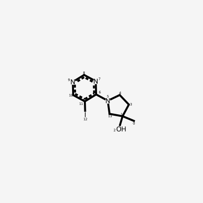 CC1(O)CCN(c2ncncc2I)C1